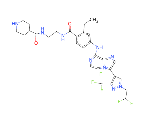 CCc1cc(Nc2nccn3c(-c4cn(CC(F)F)nc4C(F)(F)F)cnc23)ccc1C(=O)NCCNC(=O)C1CCNCC1